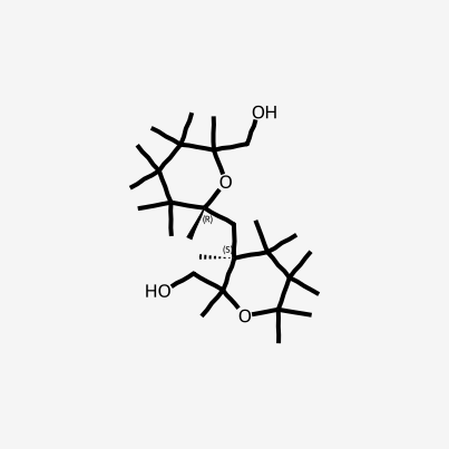 CC1(C)OC(C)(CO)[C@@](C)(C[C@@]2(C)OC(C)(CO)C(C)(C)C(C)(C)C2(C)C)C(C)(C)C1(C)C